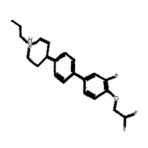 CCC[SiH]1CCC(c2ccc(-c3ccc(OCC(F)F)c(F)c3)cc2)CC1